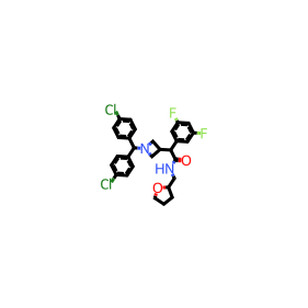 O=C(NCC1CCCO1)C(c1cc(F)cc(F)c1)C1CN(C(c2ccc(Cl)cc2)c2ccc(Cl)cc2)C1